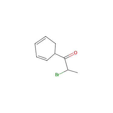 CC(Br)C(=O)C1C=CC=CC1